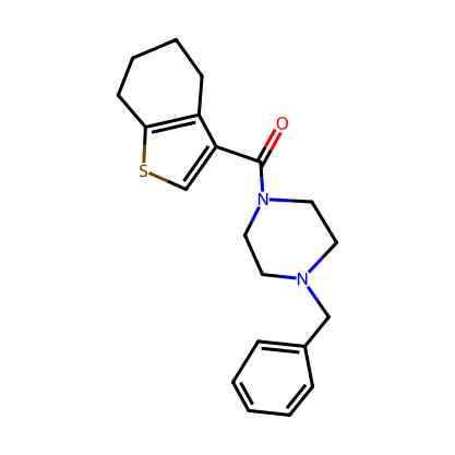 O=C(c1csc2c1CCCC2)N1CCN(Cc2ccccc2)CC1